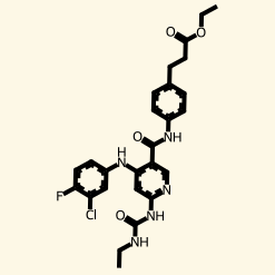 CCNC(=O)Nc1cc(Nc2ccc(F)c(Cl)c2)c(C(=O)Nc2ccc(CCC(=O)OCC)cc2)cn1